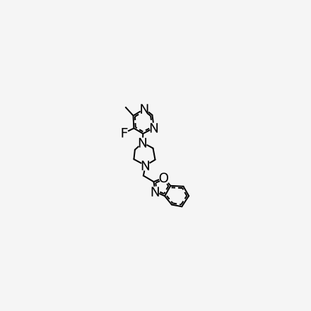 Cc1ncnc(N2CCN(Cc3nc4ccccc4o3)CC2)c1F